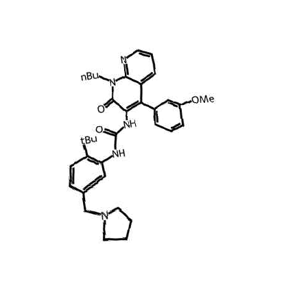 CCCCn1c(=O)c(NC(=O)Nc2cc(CN3CCCC3)ccc2C(C)(C)C)c(-c2cccc(OC)c2)c2cccnc21